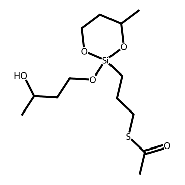 CC(=O)SCCC[Si]1(OCCC(C)O)OCCC(C)O1